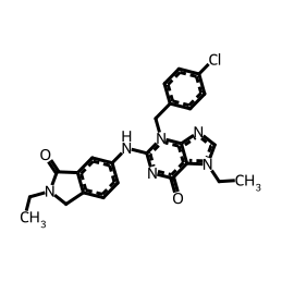 CCN1Cc2ccc(Nc3nc(=O)c4c(ncn4CC)n3Cc3ccc(Cl)cc3)cc2C1=O